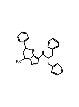 O=C(c1cnn2c1NC(c1ccccc1)CC2C(F)(F)F)N(Cc1ccccc1)Cc1ccccc1